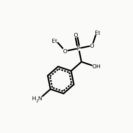 CCOP(=O)(OCC)C(O)c1ccc(N)cc1